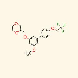 COc1cc(OCC2COCCO2)cc(-c2ccc(OCC(F)(F)F)cc2)c1